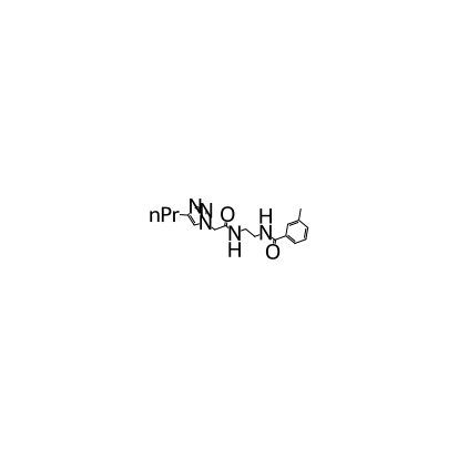 CCCc1cn(CC(=O)NCCNC(=O)c2cccc(C)c2)nn1